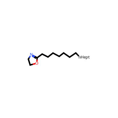 CCCCCCCCCCCCCCC1=NCCO1